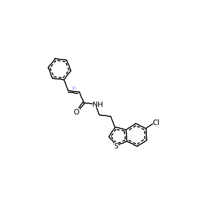 O=C(/C=C/c1ccccc1)NCCc1csc2ccc(Cl)cc12